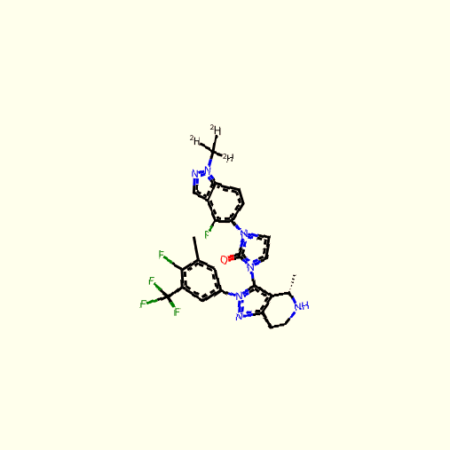 [2H]C([2H])([2H])n1ncc2c(F)c(-n3ccn(-c4c5c(nn4-c4cc(C)c(F)c(C(F)(F)F)c4)CCN[C@H]5C)c3=O)ccc21